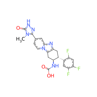 Cn1c(-c2ccn3c4c(nc3c2)C[C@H](c2cc(F)c(F)cc2F)[C@@H](NC(=O)O)C4)n[nH]c1=O